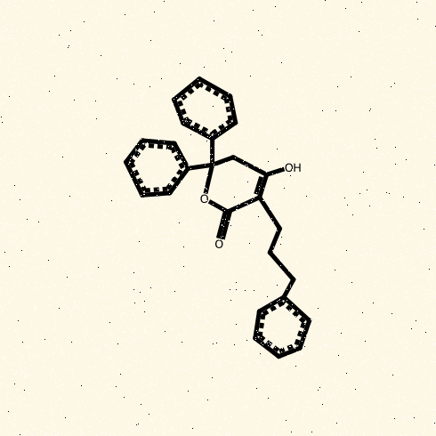 O=C1OC(c2ccccc2)(c2ccccc2)CC(O)=C1CCCc1ccccc1